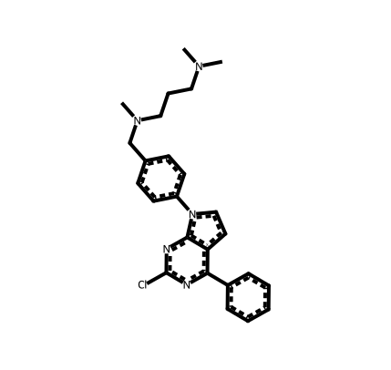 CN(C)CCCN(C)Cc1ccc(-n2ccc3c(-c4ccccc4)nc(Cl)nc32)cc1